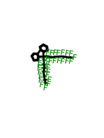 FC(F)(F)C(F)(F)C(F)(F)C(F)(F)C(F)(F)C(F)(F)C(F)(F)C1(C(F)(F)C(F)(F)C(F)(F)C(F)(F)C(F)(F)C(F)(F)C(F)(F)F)c2ccccc2-c2ccccc21